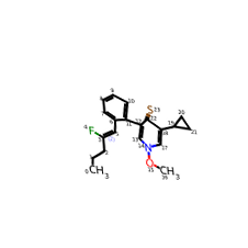 CCC/C(F)=C/c1ccccc1-c1cn(OC)cc(C2CC2)c1=S